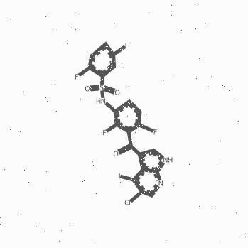 O=C(c1c(F)ccc(NS(=O)(=O)c2cc(F)ccc2F)c1F)c1c[nH]c2ncc(Cl)c(I)c12